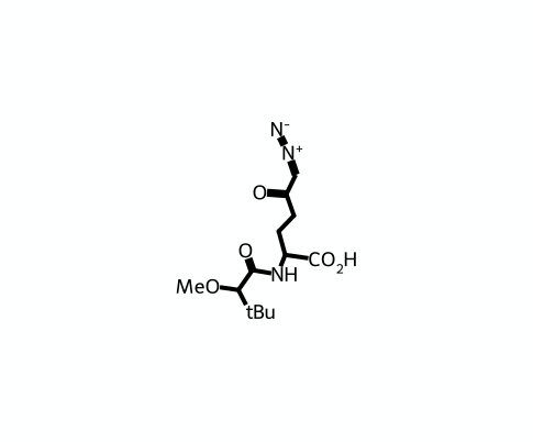 COC(C(=O)NC(CCC(=O)C=[N+]=[N-])C(=O)O)C(C)(C)C